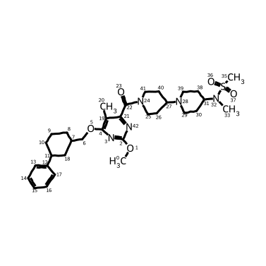 COc1nc(OCC2CCCC(c3ccccc3)C2)c(C)c(C(=O)N2CCC(N3CCC(N(C)S(C)(=O)=O)CC3)CC2)n1